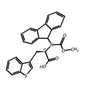 COC(=O)N(C1c2ccccc2-c2ccccc21)[C@H](Cc1csc2ccccc12)C(=O)O